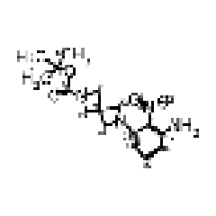 CC(C)(C)OC(=O)N1CC2(C1)CN(c1cccc(N)c1[N+](=O)[O-])C2